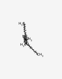 CCCCCCCCCCCCCCOC(C)N1CC[N+](CCCN)(C(C)OCCCCCCCCCCCCCC)CC1